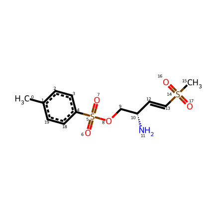 Cc1ccc(S(=O)(=O)OC[C@@H](N)/C=C/S(C)(=O)=O)cc1